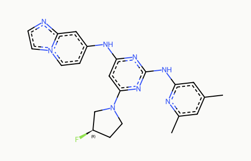 Cc1cc(C)nc(Nc2nc(Nc3ccn4ccnc4c3)cc(N3CC[C@@H](F)C3)n2)c1